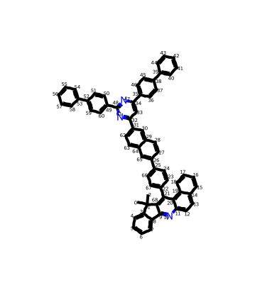 CC1(C)c2ccccc2-c2nc3ccc4ccccc4c3c(-c3ccc(-c4ccc5cc(-c6cc(-c7ccc(-c8ccccc8)cc7)nc(-c7ccc(-c8ccccc8)cc7)n6)ccc5c4)cc3)c21